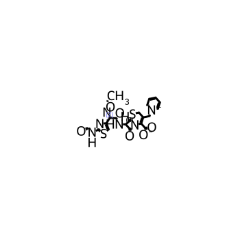 CCO/N=C(\C(=O)NC1C(=O)N2C(C(=O)[O-])=C(C[n+]3ccccc3)CS[C@H]12)c1csc(NC=O)n1